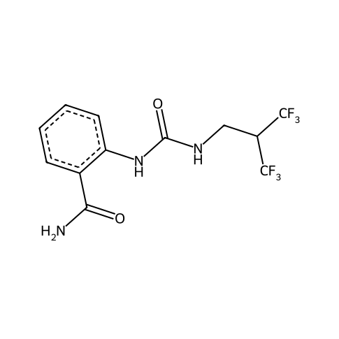 NC(=O)c1ccccc1NC(=O)NCC(C(F)(F)F)C(F)(F)F